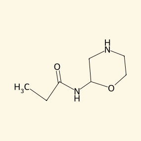 CCC(=O)NC1CNCCO1